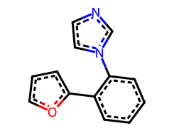 c1coc(-c2ccccc2-n2ccnc2)c1